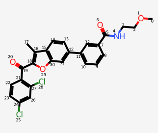 COCCNC(=O)c1cccc(-c2ccc3c(C)c(C(=O)c4ccc(Cl)cc4Cl)oc3c2)c1